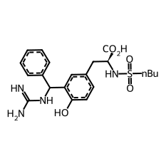 CCCCS(=O)(=O)N[C@@H](Cc1ccc(O)c(C(NC(=N)N)c2ccccc2)c1)C(=O)O